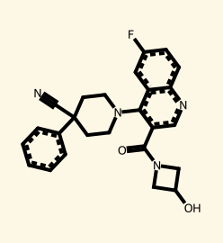 N#CC1(c2ccccc2)CCN(c2c(C(=O)N3CC(O)C3)cnc3ccc(F)cc23)CC1